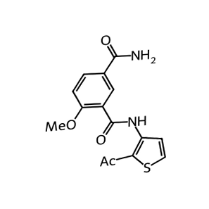 COc1ccc(C(N)=O)cc1C(=O)Nc1ccsc1C(C)=O